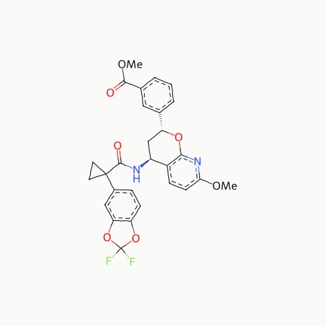 COC(=O)c1cccc([C@H]2C[C@H](NC(=O)C3(c4ccc5c(c4)OC(F)(F)O5)CC3)c3ccc(OC)nc3O2)c1